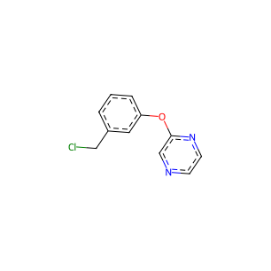 ClCc1cccc(Oc2cnccn2)c1